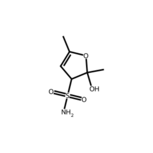 CC1=CC(S(N)(=O)=O)C(C)(O)O1